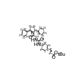 CC(C)(C)OC(=O)CSc1ccc(NC(=O)NCC(=O)N2C(c3ccccc3)CCC2c2ccccc2)cc1